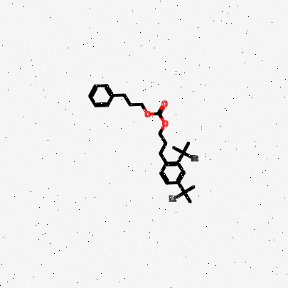 CCC(C)(C)c1ccc(CCCOC(=O)OCCCc2ccccc2)c(C(C)(C)CC)c1